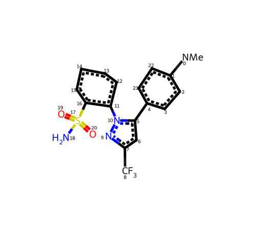 CNc1ccc(-c2cc(C(F)(F)F)nn2-c2ccccc2S(N)(=O)=O)cc1